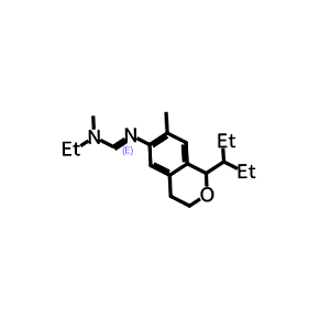 CCC(CC)C1OCCc2cc(/N=C/N(C)CC)c(C)cc21